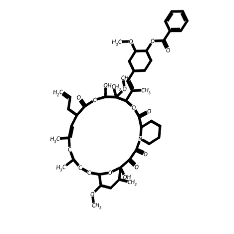 C=CCC1/C=C(/C)CC(C)CCC2OC(O)(C(=O)C(=O)N3CCCCC3C(=O)OC(/C(C)=C/C3CCC(OC(=O)c4ccccc4)C(OC)C3)C(C)(OC)C(O)CC1=O)C(C)CC2OC